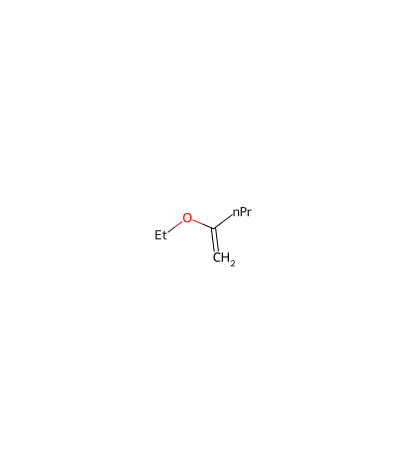 [CH2]COC(=C)CCC